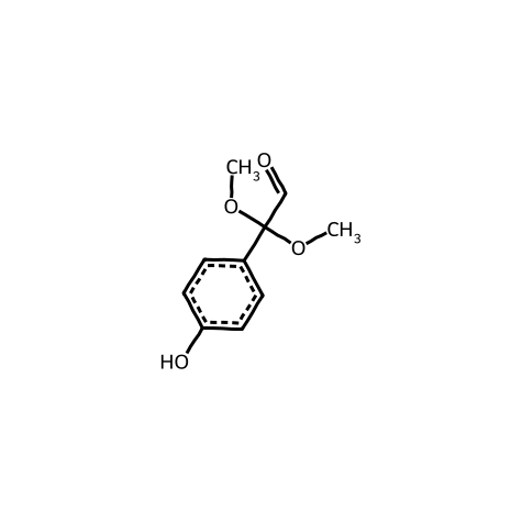 COC(C=O)(OC)c1ccc(O)cc1